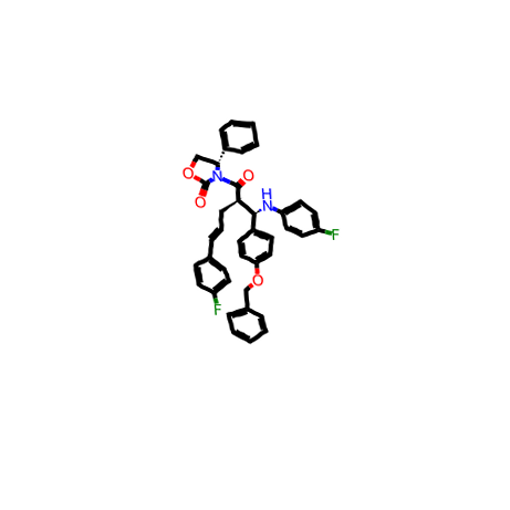 O=C1OC[C@H](c2ccccc2)N1C(=O)[C@H](CC=Cc1ccc(F)cc1)[C@H](Nc1ccc(F)cc1)c1ccc(OCc2ccccc2)cc1